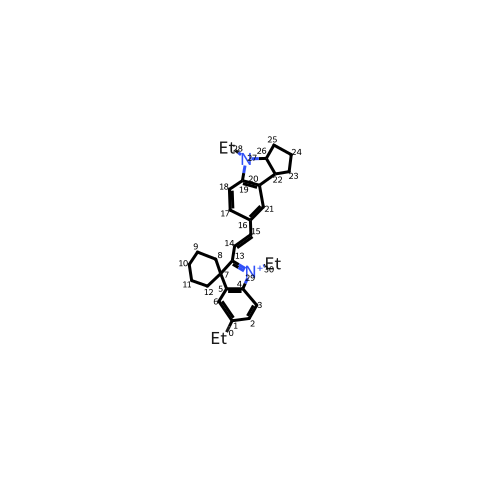 CCc1ccc2c(c1)C1(CCCCC1)C(/C=C/c1ccc3c(c1)C1CCCC1N3CC)=[N+]2CC